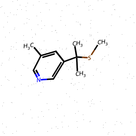 CSC(C)(C)c1cncc(C)c1